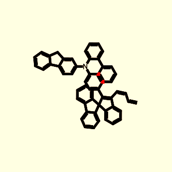 C=C/C=C\C1=C(c2ccc(N(c3ccc4c(c3)Cc3ccccc3-4)c3ccccc3-c3ccccc3)cc2)C2(c3ccccc31)c1ccccc1-c1ccccc12